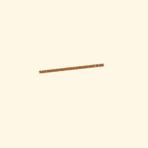 S=S=S=S=S=S=S=S=S=S=S=S=S=S=S=S=S=S=S=S=S=S=S=S=S=S=S=S=S=S=S=S=S=S=S=S=S=S=S=S=S=S=S=S=S=S=S=S=S=S=S=S=S=S=S=S=S=S=S=S=S=S=S=S=S=S=S=S=S=S=S=S=S=S=S=S=S=S=S=S=S=S=S=S=S=S=S=S=S=S=S=S=S=S=S=S=S=S